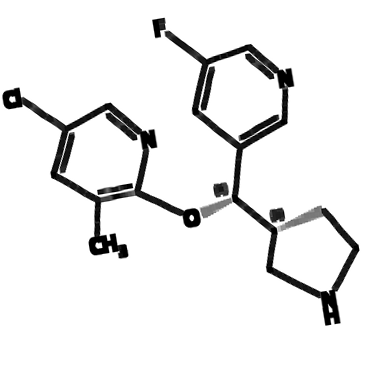 Cc1cc(Cl)cnc1O[C@H](c1cncc(F)c1)[C@@H]1CCNC1